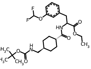 CCOC(=O)C(Cc1cccc(OC(F)F)c1)NC(=O)[C@H]1CC[C@H](CNC(=O)OC(C)(C)C)CC1